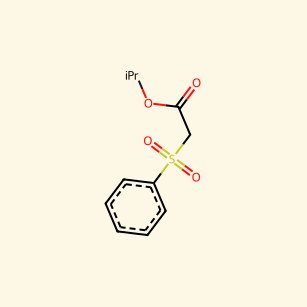 CC(C)OC(=O)CS(=O)(=O)c1ccccc1